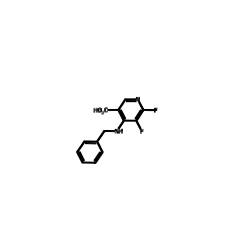 O=C(O)c1cnc(F)c(F)c1NCc1ccccc1